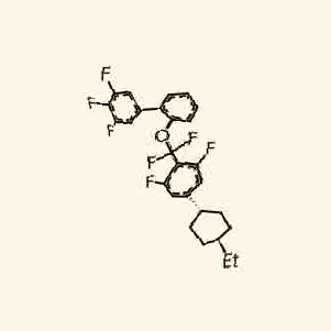 CC[C@H]1CC[C@H](c2cc(F)c(C(F)(F)Oc3ccccc3-c3cc(F)c(F)c(F)c3)c(F)c2)CC1